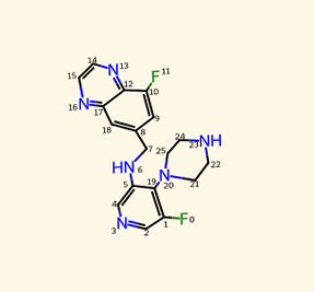 Fc1cncc(NCc2cc(F)c3nccnc3c2)c1N1CCNCC1